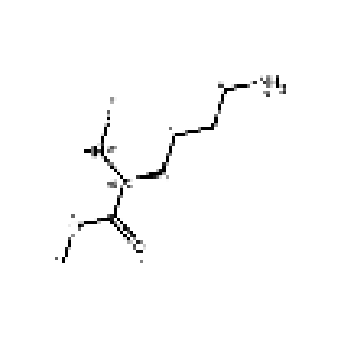 COC(=O)[C@H](CCCCN)NCl